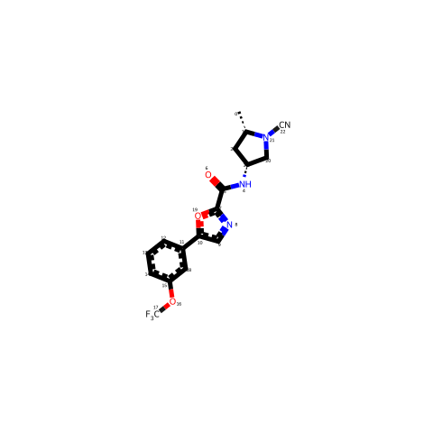 C[C@H]1C[C@@H](NC(=O)c2ncc(-c3cccc(OC(F)(F)F)c3)o2)CN1C#N